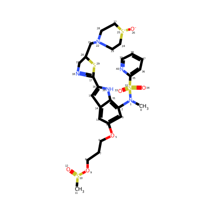 CN(c1cc(OCCCOS(C)=O)cc2cc(C3=NCC(CN4CC[S+]([O-])CC4)S3)[nH]c12)S(=O)(=O)c1ccccn1